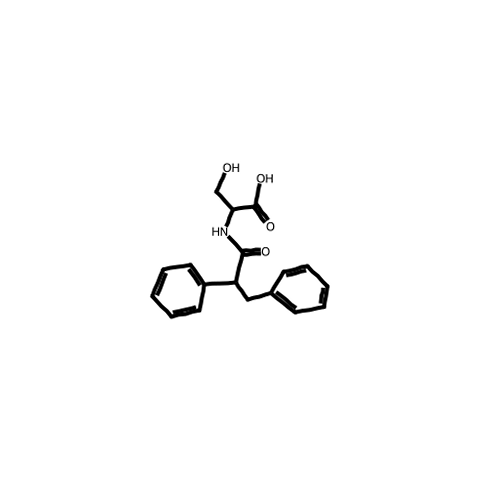 O=C(O)C(CO)NC(=O)C(Cc1ccccc1)c1ccccc1